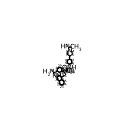 CC(=N)N1CCC(c2ccc(NC(=O)CN(Cc3cccc4ccccc34)c3cccc(C(=N)N)c3)cc2)CC1.Cl.Cl